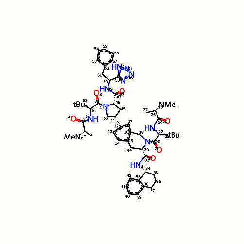 CN[C@@H](C)C(=O)N[C@H](C(=O)N1C[C@@H](c2ccc3c(c2)CN(C(=O)[C@@H](NC(=O)[C@H](C)NC)C(C)(C)C)[C@H](C(=O)N[C@@H]2CCCc4ccccc42)C3)C[C@H]1C(=O)N[C@@H](Cc1ccccc1)c1nnn[nH]1)C(C)(C)C